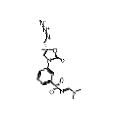 CN(C)C=NS(=O)(=O)c1cccc(N2C[C@H](CN=[N+]=[N-])OC2=O)c1